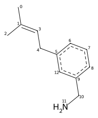 CC(C)=CCc1cccc(CN)c1